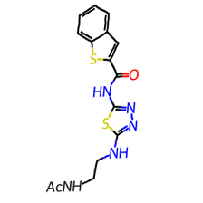 CC(=O)NCCNc1nnc(NC(=O)c2cc3ccccc3s2)s1